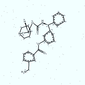 NCc1cccc(C(=O)Oc2cccc([C@@H](NC(=O)O[C@H]3CN4CCC3CC4)c3ccccc3)c2)c1